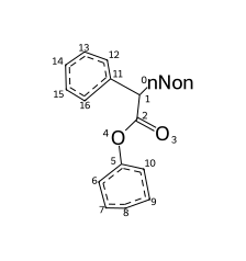 CCCCCCCCCC(C(=O)Oc1ccccc1)c1ccccc1